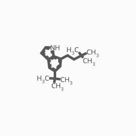 CC(C)(C)CCc1cc(C(C)(C)C)cc2cc[nH]c12